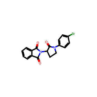 O=C1C(N2C(=O)c3ccccc3C2=O)CCN1c1ccc(Br)cc1